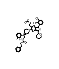 CC(=O)OCc1nc2c(-c3cccc(Cl)c3Cl)nn(C3CCCCO3)c2nc1N1CCC2C(C1)C2(CNC(=O)OCc1ccccc1)c1cccc(F)c1